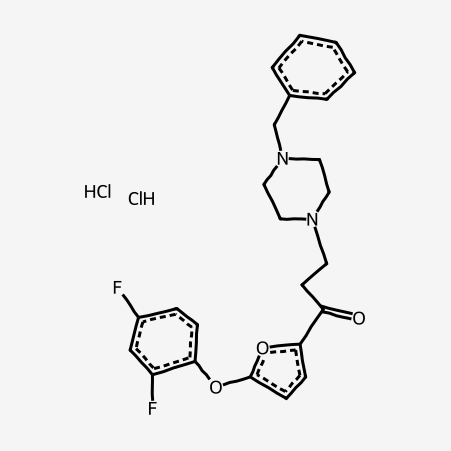 Cl.Cl.O=C(CCN1CCN(Cc2ccccc2)CC1)c1ccc(Oc2ccc(F)cc2F)o1